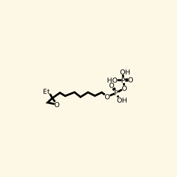 CCC1(CCCCCCCOP(=O)(O)OP(=O)(O)O)CO1